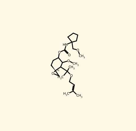 COCC1(NC(=O)OC2CC[C@]3(CO3)C(C(C)(C)OCC=C(C)C)C2OC)CCCC1